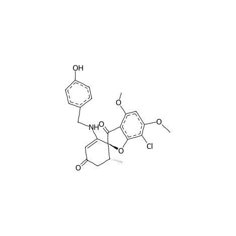 COc1cc(OC)c2c(c1Cl)O[C@]1(C2=O)C(NCc2ccc(O)cc2)=CC(=O)C[C@H]1C